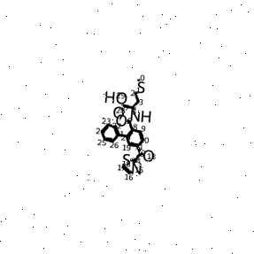 CSCCC(NC(=O)c1ccc(C(=O)c2nccs2)cc1-c1ccccc1)C(=O)O